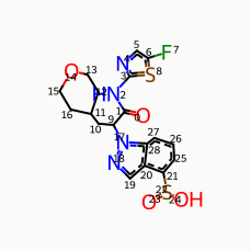 O=C(Nc1ncc(F)s1)C(CC1CCOCC1)n1ncc2c(S(=O)O)cccc21